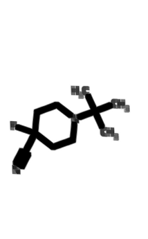 CC(C)(C)N1CCC(F)(C#N)CC1